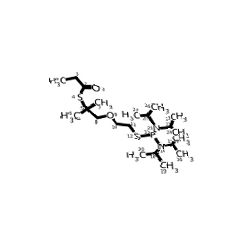 CCC(=O)SC(C)(C)COCCSP(N(C(C)C)C(C)C)N(C(C)C)C(C)C